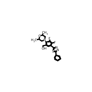 CC1CN(c2c(CO)cc(-c3nnc(-c4ccccc4)s3)c(F)c2F)CC(C)O1